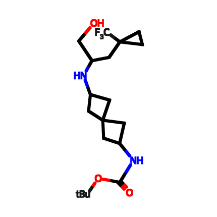 CC(C)(C)OC(=O)NC1CC2(C1)CC(NC(CO)CC1(C(F)(F)F)CC1)C2